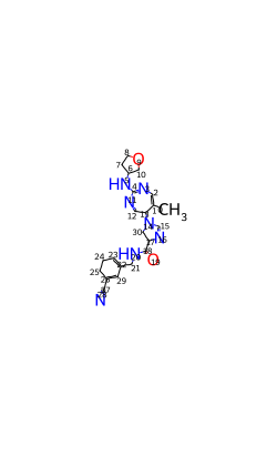 CC1=CN=C(NC2CCOC2)N=CC1N1C=NC(C(=O)NCC2=CCCC(C#N)=C2)C1